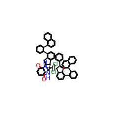 O=CN[B](NC=O)[Hf]([Cl])([Cl])([CH]1C(c2ccccc2)=Cc2c(-c3ccccc3-c3cccc4ccccc34)cccc21)[CH]1C(c2ccccc2)=Cc2c(-c3ccccc3-c3cccc4ccccc34)cccc21